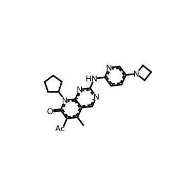 CC(=O)c1c(C)c2cnc(Nc3ccc(N4CCC4)cn3)nc2n(C2CCCC2)c1=O